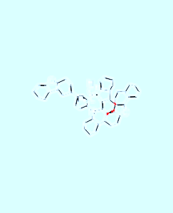 CC1(C)c2ccccc2-c2cccc(N(c3ccc(-c4ccc5oc6ccccc6c5c4)cc3)c3ccccc3-c3ccc4oc5c6ccccc6ccc5c4c3)c21